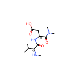 CN[C@H](C(=O)N[C@@H](CC(=O)O)C(=O)N(C)C)C(C)C